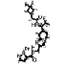 CC(C)n1nccc1C(=O)NCc1cn2ncc(C(NC(=O)CC3CC(F)(F)C3)C(F)F)cc2n1